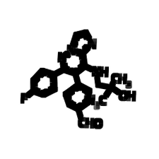 CC(C)(O)CNc1c(-c2ccc(C=O)cc2)c(-c2ccc(F)cc2)nn2ccnc12